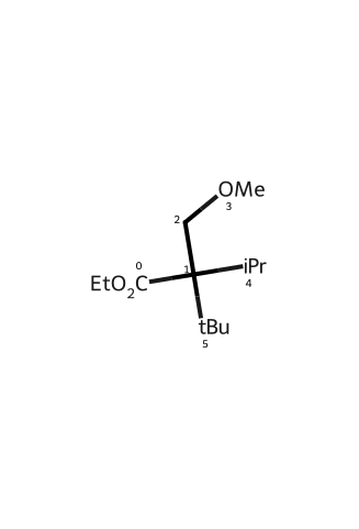 CCOC(=O)C(COC)(C(C)C)C(C)(C)C